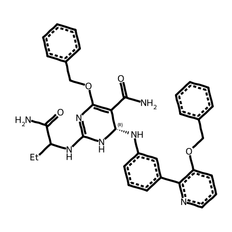 CCC(NC1=NC(OCc2ccccc2)=C(C(N)=O)[C@H](Nc2cccc(-c3ncccc3OCc3ccccc3)c2)N1)C(N)=O